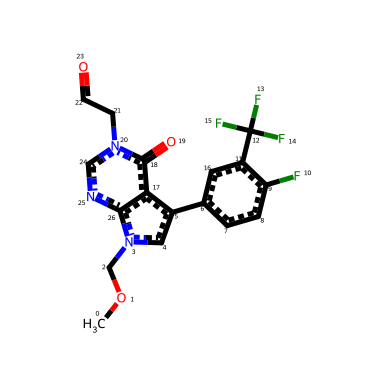 COCn1cc(-c2ccc(F)c(C(F)(F)F)c2)c2c(=O)n(CC=O)cnc21